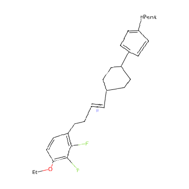 CCCCCc1ccc(C2CCC(/C=C/CCc3ccc(OCC)c(F)c3F)CC2)cc1